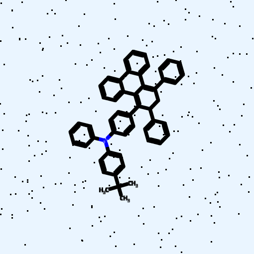 CC(C)(C)c1ccc(N(c2ccccc2)c2ccc(C3=c4c(c5ccccc5c5ccccc45)=C(c4ccccc4)CC3c3ccccc3)cc2)cc1